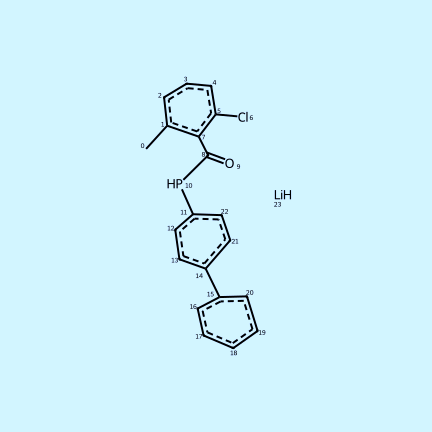 Cc1cccc(Cl)c1C(=O)Pc1ccc(-c2ccccc2)cc1.[LiH]